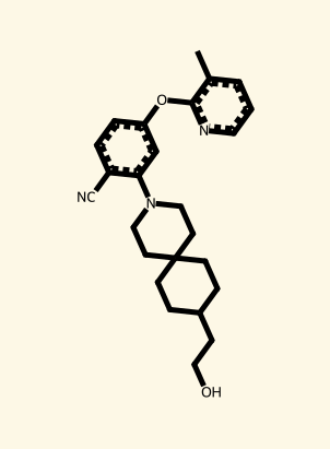 Cc1cccnc1Oc1ccc(C#N)c(N2CCC3(CCC(CCO)CC3)CC2)c1